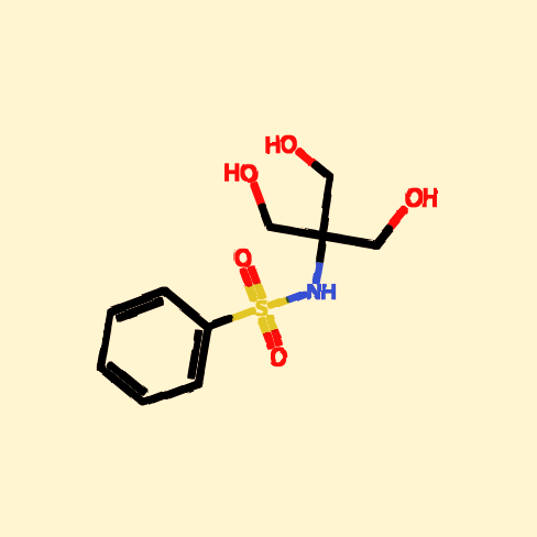 O=S(=O)(NC(CO)(CO)CO)c1ccccc1